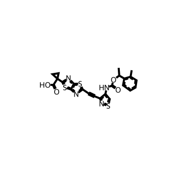 Cc1ccccc1C(C)OC(=O)Nc1csnc1C#Cc1nc2sc(C3(C(=O)O)CC3)nc2s1